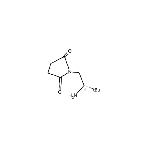 CC(C)(C)[C@H](N)CN1C(=O)CCC1=O